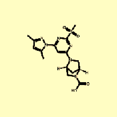 Cc1cc(C)n(-c2cc(N3C[C@H]4C[C@@H]3CN4C(=O)O)nc(S(C)(=O)=O)n2)n1